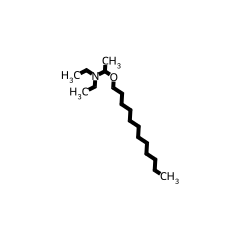 CCCCCCCCCCCCOC(C)N(CC)CC